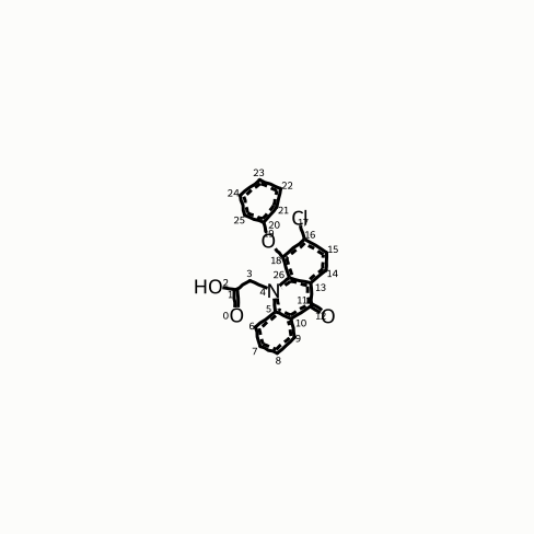 O=C(O)Cn1c2ccccc2c(=O)c2ccc(Cl)c(Oc3ccccc3)c21